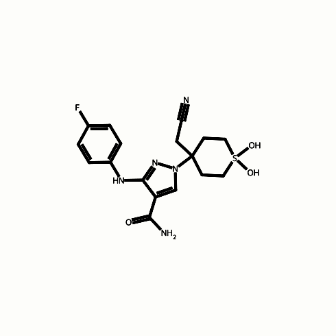 N#CCC1(n2cc(C(N)=O)c(Nc3ccc(F)cc3)n2)CCS(O)(O)CC1